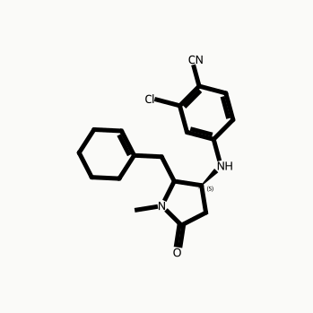 CN1C(=O)C[C@H](Nc2ccc(C#N)c(Cl)c2)C1CC1=CCCCC1